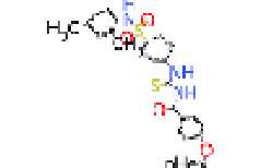 CCCCCCOc1ccc(C(=O)NC(=S)Nc2ccc(S(=O)(=O)Nc3ccc(C)cc3C)cc2)cc1